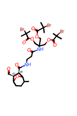 CC1CCC2OC1[C@H](C(=O)NCCC(=O)NC(COC(=O)C(C)(C)Br)(COC(=O)C(C)(C)Br)COC(=O)C(C)(C)Br)[C@@H]2C=O